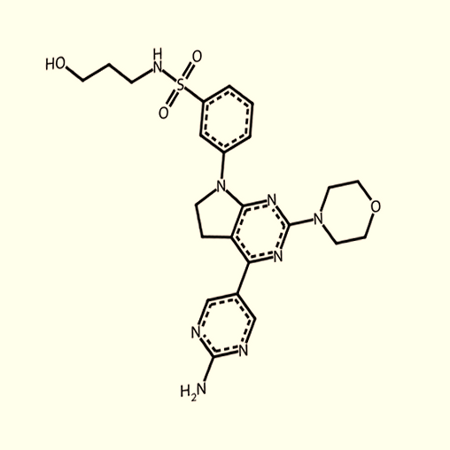 Nc1ncc(-c2nc(N3CCOCC3)nc3c2CCN3c2cccc(S(=O)(=O)NCCCO)c2)cn1